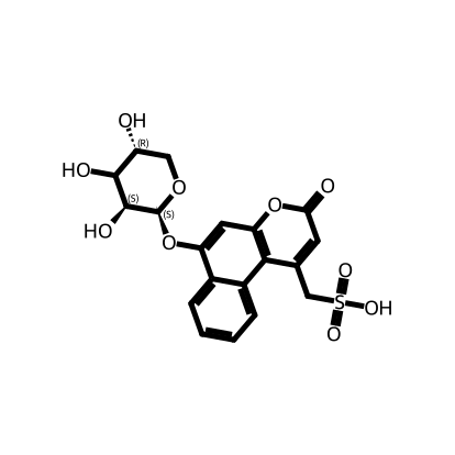 O=c1cc(CS(=O)(=O)O)c2c(cc(O[C@@H]3OC[C@@H](O)C(O)[C@@H]3O)c3ccccc32)o1